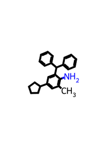 Cc1cc(C2CCCC2)cc(C(c2ccccc2)c2ccccc2)c1N